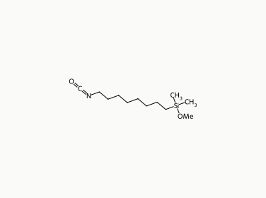 CO[Si](C)(C)CCCCCCCCN=C=O